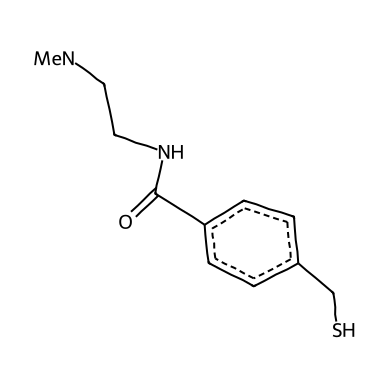 CNCCNC(=O)c1ccc(CS)cc1